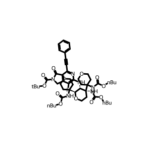 CCCCOC(=O)NC1([C@@H]2OCC[C@](NC(=O)OCCCC)(C3(NC(=O)OCCCC)CCOCC3)[C@H]2Nc2nc(C#Cc3ccccc3)c3c(c2F)CN(C(=O)OC(C)(C)C)C3=O)CCOCC1